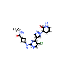 CNC(=O)C1CC(Nc2ncc(Cl)c(-c3cnn(-c4ccc[nH]c4=O)c3)n2)C1